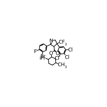 CC1CCC(C(C)C)C(OC(=O)C2C(c3ccc(F)c(Br)c3)=NCC2(c2cc(Cl)c(Cl)c(Cl)c2)C(F)(F)F)C1